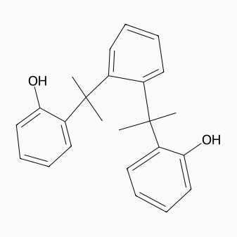 CC(C)(c1ccccc1O)c1ccccc1C(C)(C)c1ccccc1O